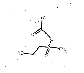 CCCC(=O)OP(C)(=O)CCO